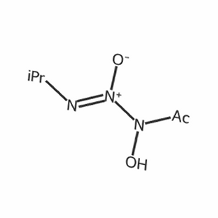 CC(=O)N(O)/[N+]([O-])=N/C(C)C